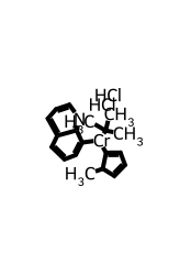 CC1C=CC=[C]1[Cr]([c]1cccc2cccnc12)[C](C)(C)C.Cl.Cl